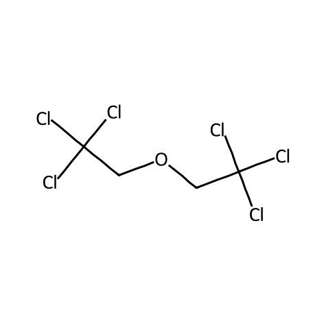 ClC(Cl)(Cl)COCC(Cl)(Cl)Cl